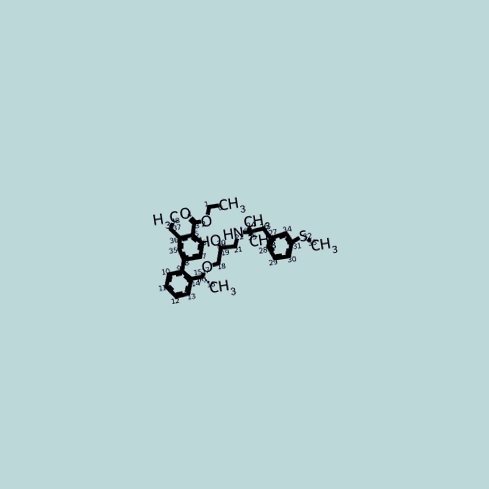 CCOC(=O)c1ccc(-c2ccccc2[C@@H](C)OC[C@H](O)CNC(C)(C)Cc2cccc(SC)c2)cc1CC